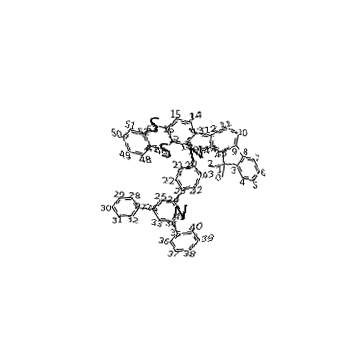 CC1(C)c2ccccc2-c2ccc3c4ccc5c(c4n(-c4ccc(-c6cc(-c7ccccc7)cc(-c7ccccc7)n6)cc4)c3c21)Sc1ccccc1S5